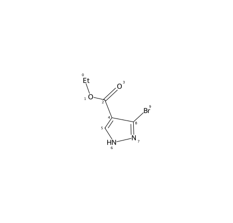 CCOC(=O)c1c[nH]nc1Br